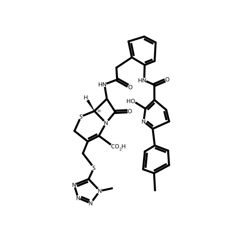 Cc1ccc(-c2ccc(C(=O)Nc3ccccc3CC(=O)NC3C(=O)N4C(C(=O)O)=C(CSc5nnnn5C)CS[C@H]34)c(O)n2)cc1